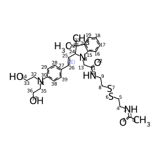 CC(=O)NCCSSCCNC(=O)CN1c2ccccc2C(C)(C)C1/C=C/c1ccc(N(CCO)CCO)cc1